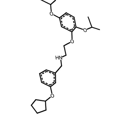 CC(C)Oc1ccc(OC(C)C)c(OCCNCc2cccc(OC3CCCC3)c2)c1